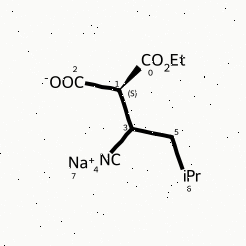 CCOC(=O)[C@H](C(=O)[O-])C(C#N)CC(C)C.[Na+]